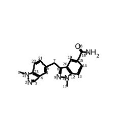 Cn1ncc2cc(Cc3nn(C)c4ccc(C(N)=O)cc34)ccc21